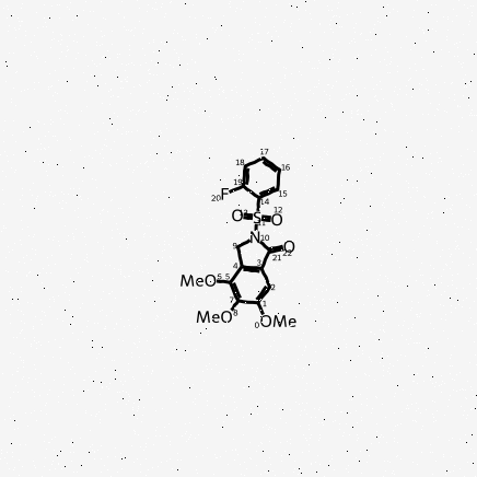 COc1cc2c(c(OC)c1OC)CN(S(=O)(=O)c1ccccc1F)C2=O